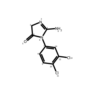 NC1=NCC(=O)N1c1ccc(Cl)c(Cl)c1